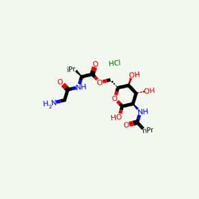 CCCC(=O)N[C@H]1C(O)O[C@H](COC(=O)[C@@H](NC(=O)CN)C(C)C)[C@@H](O)[C@@H]1O.Cl